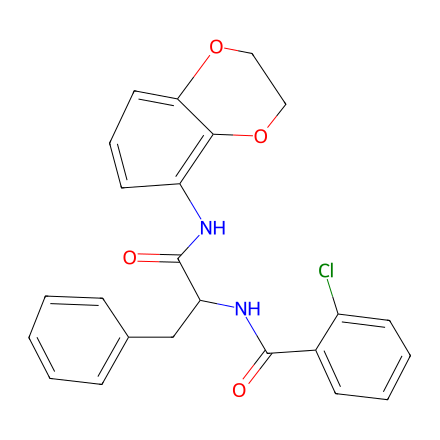 O=C(NC(Cc1ccccc1)C(=O)Nc1cccc2c1OCCO2)c1ccccc1Cl